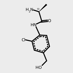 C[C@H](N)C(=O)Nc1ccc(CO)cc1Cl